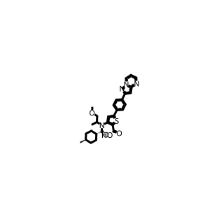 COCC(C)N(c1cc(-c2ccc(-c3cc4ncccn4n3)cc2)sc1C(=O)O)C(=O)[C@H]1CC[C@H](C)CC1